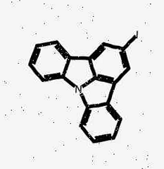 Ic1cc2c3ccccc3n3c4ccccc4c(c1)c23